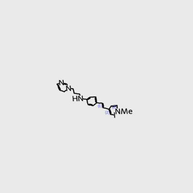 CN\C=C/C(=C\I)/C=C/c1ccc(NCCCN2C=NC=CC2)cc1